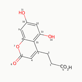 O=C(O)CCc1cc(=O)oc2cc(O)cc(O)c12